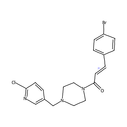 O=C(/C=C/c1ccc(Br)cc1)N1CCN(Cc2ccc(Cl)nc2)CC1